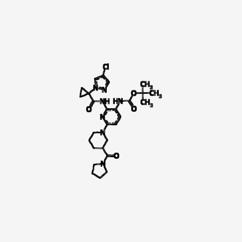 CC(C)(C)OC(=O)Nc1ccc(N2CCCC(C(=O)N3CCCC3)C2)nc1NC(=O)C1(n2cc(Cl)cn2)CC1